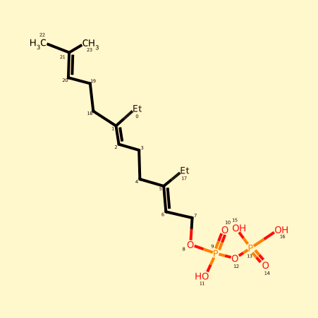 CC/C(=C\CC/C(=C/COP(=O)(O)OP(=O)(O)O)CC)CCC=C(C)C